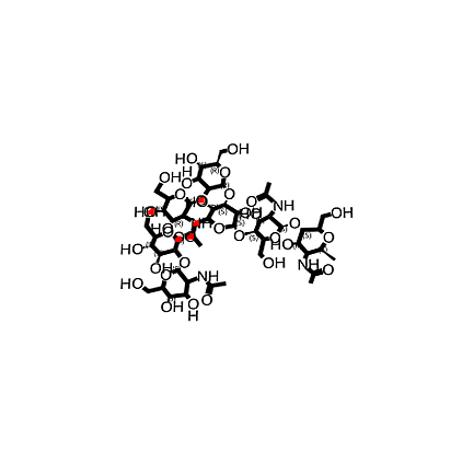 CC(=O)NC1C(O)[C@H](O)C(CO)O[C@H]1OC1[C@@H](OCC2O[C@@H](O[C@@H]3C(CO)O[C@@H](O[C@@H]4C(CO)O[C@@H](C)C(NC(C)=O)[C@H]4O)C(NC(C)=O)[C@H]3O)C(O)[C@@H](O[C@H]3O[C@H](CO)[C@@H](O)C(O)C3O[C@@H]3OC(CO)[C@@H](O)[C@H](O)C3NC(C)=O)[C@@H]2O)OC(CO)[C@@H](O)[C@@H]1O